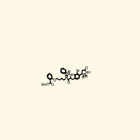 COC(=O)c1ccccc1OCCCCNC(=O)C(Cc1ccc(C2CC(=O)NS2(=O)=O)c(Br)c1)NS(=O)(=O)c1ccccc1